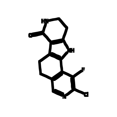 O=C1NCCc2[nH]c3c(c21)CCc1cnc(Cl)c(F)c1-3